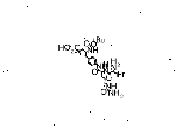 CC(C)C(N)C(=O)NC(CCCNC(N)=O)C(=O)Nc1ccc(CC(CC(C)(C)C(=O)O)NC(=O)OC(C)(C)C)cc1